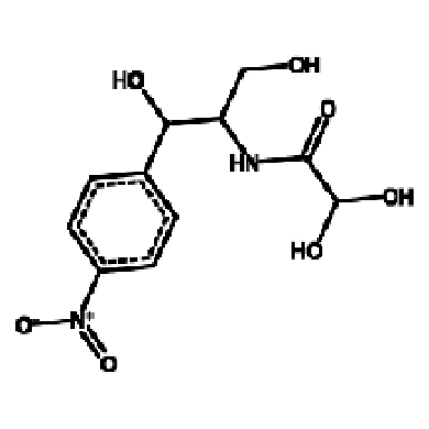 O=C(NC(CO)C(O)c1ccc([N+](=O)[O-])cc1)C(O)O